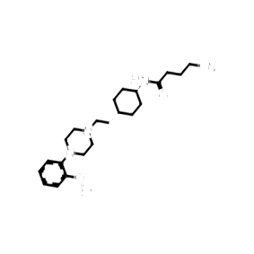 CCOc1ccccc1N1CCN(CC[C@H]2CC[C@H](NC(=O)CCCC#N)CC2)CC1